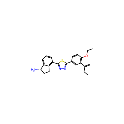 C=C(CC)c1cc(-c2nnc(-c3cccc4c3CC[C@@H]4N)s2)ccc1OCC